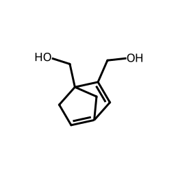 OCC1=CC2=CCC1(CO)C2